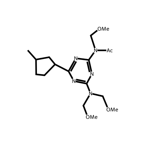 COCN(COC)c1nc(C2CCC(C)C2)nc(N(COC)C(C)=O)n1